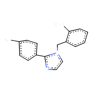 COc1ccccc1Cn1ccnc1-c1ccc(C#N)cc1